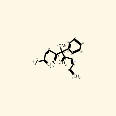 C=C/C=C\C(=C)C(OC)(C(=C)/C=C\C(=C)C)c1ccccc1